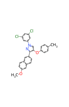 COc1ccc2cc(-c3nn(-c4cc(Cl)cc(Cl)c4)cc3Oc3ccc(C)cc3)ccc2c1